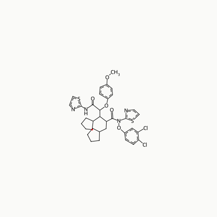 COc1ccc(OC(C(=O)Nc2nccs2)C(C2CCCC2)C(CC2CCCC2)C(=O)N(Oc2ccc(Cl)c(Cl)c2)c2nccs2)cc1